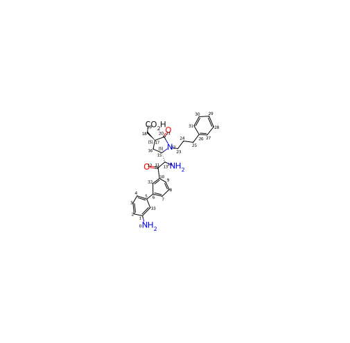 Nc1cccc(-c2cccc(C(=O)C(N)[C@@H]3C[C@@H](CC(=O)O)C(=O)N3CCCc3ccccc3)c2)c1